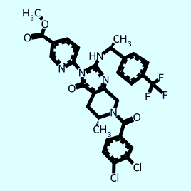 COC(=O)c1ccc(-n2c(N[C@@H](C)c3ccc(C(F)(F)F)cc3)nc3c(c2=O)C[C@@H](C)N(C(=O)c2ccc(Cl)c(Cl)c2)C3)nc1